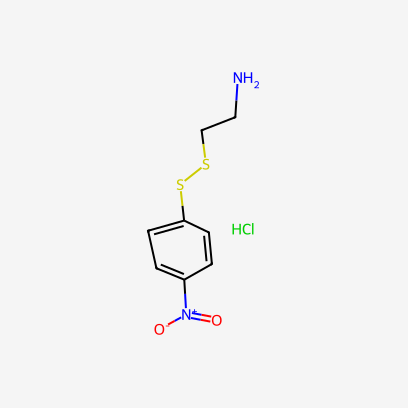 Cl.NCCSSc1ccc([N+](=O)[O-])cc1